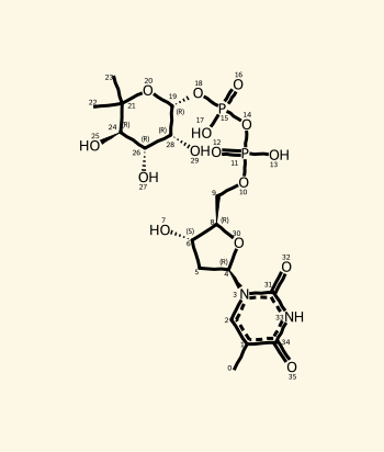 Cc1cn([C@H]2C[C@H](O)[C@@H](COP(=O)(O)OP(=O)(O)O[C@H]3OC(C)(C)[C@H](O)[C@@H](O)[C@H]3O)O2)c(=O)[nH]c1=O